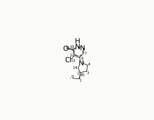 [CH2]C[C@@H]1CCN(c2cn[nH]c(=O)c2Cl)C1